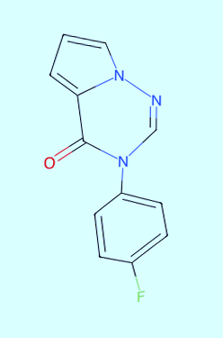 O=c1c2cccn2ncn1-c1ccc(F)cc1